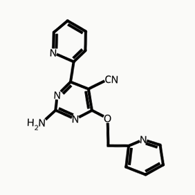 N#Cc1c(OCc2ccccn2)nc(N)nc1-c1ccccn1